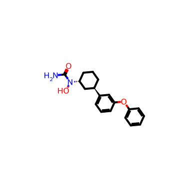 NC(=O)N(O)[C@@H]1CCC[C@@H](c2cccc(Oc3ccccc3)c2)C1